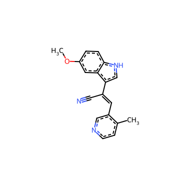 COc1ccc2[nH]cc(/C(C#N)=C/c3cnccc3C)c2c1